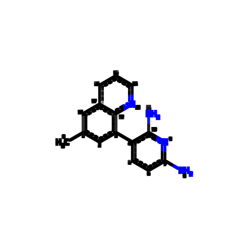 Cc1cc(-c2ccc(N)nc2N)c2ncccc2c1